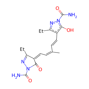 CCC1=NN(C(N)=O)C(=O)C1=CC=C(C)C=Cc1c(CC)nn(C(N)=O)c1O